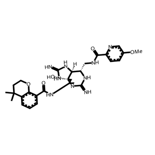 COc1ccc(C(=O)NC[C@@H]2NC(=N)N3CC(NC(=O)c4cccc5c4OCCC5(C)C)[C@@H](O)[C@@]34NC(=N)N[C@@H]24)nc1